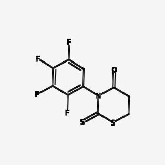 O=C1CCSC(=S)N1c1cc(F)c(F)c(F)c1F